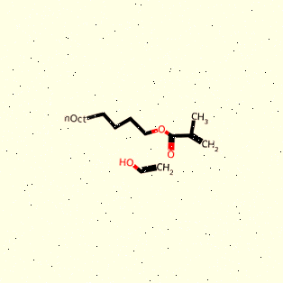 C=C(C)C(=O)OCCCCCCCCCCCC.C=CO